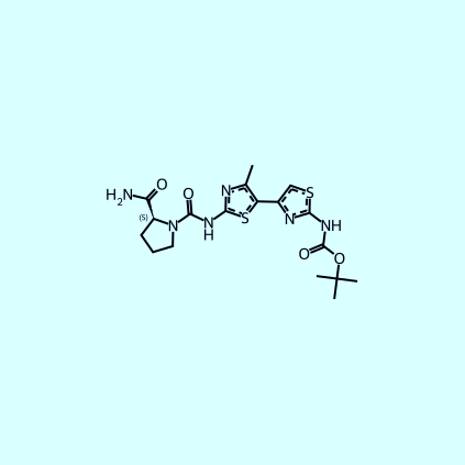 Cc1nc(NC(=O)N2CCC[C@H]2C(N)=O)sc1-c1csc(NC(=O)OC(C)(C)C)n1